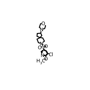 COc1ncc(S(=O)(=O)N2CCC3(CCC(N4CCOCC4)C3)CC2)cc1Cl